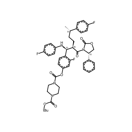 C[C@@H](CC[C@@H](C(=O)N1C(=O)OC[C@@H]1c1ccccc1)[C@H](Nc1ccc(F)cc1)c1ccc(OC(=O)N2CCN(C(=O)OC(C)(C)C)CC2)cc1F)c1ccc(F)cc1